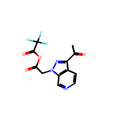 CC(=O)c1nn(CC(=O)OC(=O)C(F)(F)F)c2cnccc12